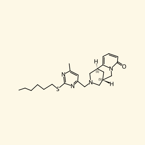 CCCCCCSc1nc(C)cc(CN2C[C@@H]3C[C@@H](C2)c2cccc(=O)n2C3)n1